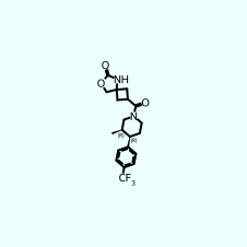 C[C@H]1CN(C(=O)C2CC3(COC(=O)N3)C2)CC[C@H]1c1ccc(C(F)(F)F)cc1